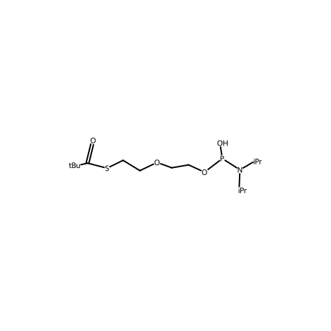 CC(C)N(C(C)C)P(O)OCCOCCSC(=O)C(C)(C)C